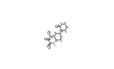 O=C1Cc2ccc(-n3ccccc3=O)cc2C(=O)N1